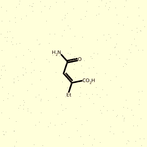 CCC(=CC(N)=O)C(=O)O